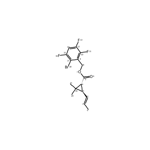 CC=C[C@@H]1[C@@H](C(=O)OCc2c(F)c(F)cc(F)c2Br)C1(C)C